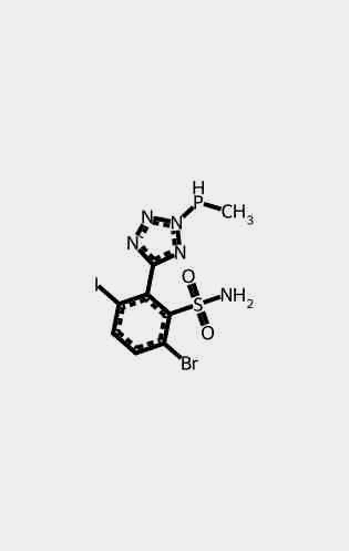 CPn1nnc(-c2c(I)ccc(Br)c2S(N)(=O)=O)n1